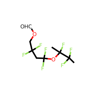 CC(F)(F)C(C)(F)OC(F)(F)CC(F)(F)COC=O